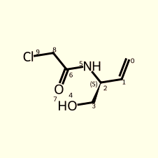 C=C[C@@H](CO)NC(=O)CCl